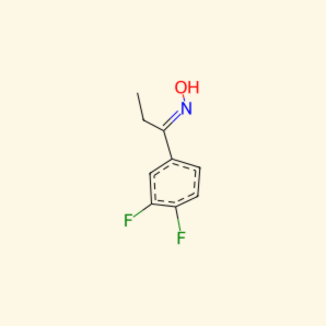 CC/C(=N\O)c1ccc(F)c(F)c1